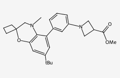 COC(=O)C1CN(c2cccc(-c3cc(C(C)(C)C)cc4c3N(C)CC3(CCC3)O4)c2)C1